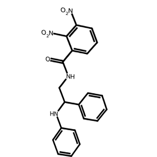 O=C(NCC(Nc1ccccc1)c1ccccc1)c1cccc([N+](=O)[O-])c1[N+](=O)[O-]